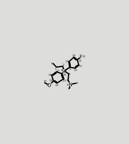 CCC[Si](CCN(C)C)(c1ccc(F)cc1)c1ccc(OC)cc1